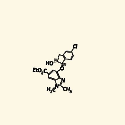 CCOC(=O)c1cc(O[C@@H]2c3ccc(Cl)cc3C[C@H]2O)c2nc(C)n(C)c2c1